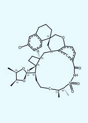 C[C@@H]1O[C@H]([C@@H]2CCC[C@H](C)[C@@H](C)S(=O)(=O)NC(=O)c3ccc4c(c3)N(C[C@@H]3CC[C@H]32)C[C@@]2(CCCc3cc(Cl)ccc32)CO4)O[C@@H]1C